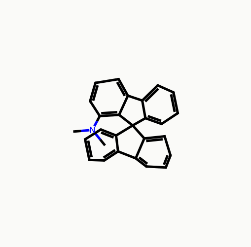 CN(C)c1cccc2c1C1(c3ccccc3-c3ccccc31)c1ccccc1-2